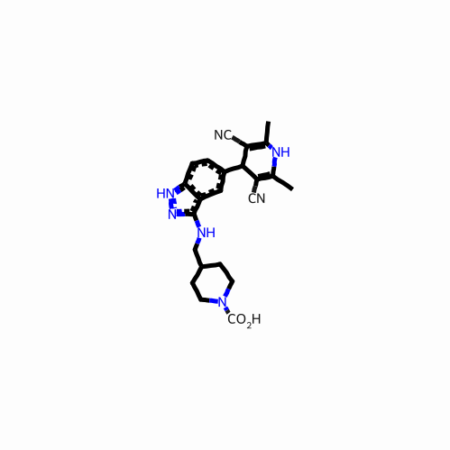 CC1=C(C#N)C(c2ccc3[nH]nc(NCC4CCN(C(=O)O)CC4)c3c2)C(C#N)=C(C)N1